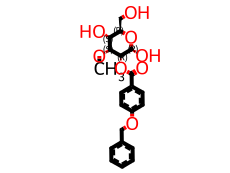 CO[C@H]1[C@@H](O)[C@@H](CO)O[C@@H](O)[C@@H]1OC(=O)c1ccc(OCc2ccccc2)cc1